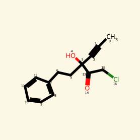 CC#CC(O)(CCc1ccccc1)C(=O)CCl